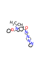 CC(C)Cn1c(COc2ccccc2)cc2cc(C(=O)N3CC(N4CCN(c5ccccn5)CC4)C3)ccc21